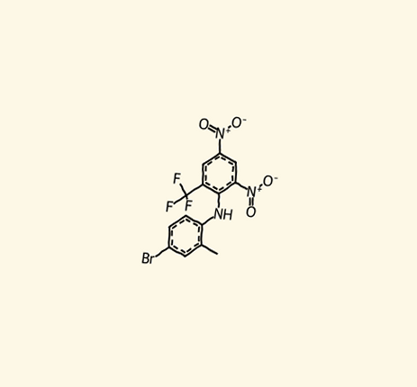 Cc1cc(Br)ccc1Nc1c([N+](=O)[O-])cc([N+](=O)[O-])cc1C(F)(F)F